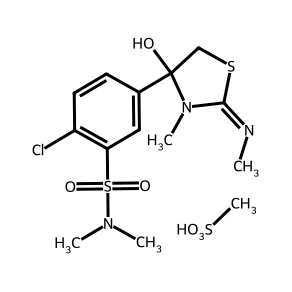 CN=C1SCC(O)(c2ccc(Cl)c(S(=O)(=O)N(C)C)c2)N1C.CS(=O)(=O)O